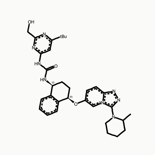 CC1CCCCN1c1nnc2ccc(O[C@@H]3CC[C@H](NC(=O)Nc4cc(C(C)(C)C)nc(CO)n4)c4ccccc43)cn12